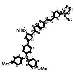 CCCCCCc1cc(-c2ccc(N(c3ccc(OC)cc3)c3ccc(OC)cc3)cc2)sc1-c1cc2sc(/C=C/c3ccc([Si](OCC)(OCC)OCC)s3)cc2s1